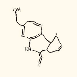 O=C1Nc2cc(CO)ccc2C2SC=CC12